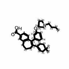 O=C(O)c1ccc2c(c1)CCCC(C1=CCC(F)(F)CC1)=C2c1cccc(O[C@@H]2CCN(CCCF)C2)c1